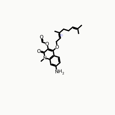 CC(C)=CCC/C(C)=C/COc1c(OC=O)c(=O)n(C)c2cc(N)ccc12